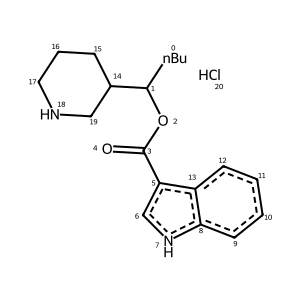 CCCCC(OC(=O)c1c[nH]c2ccccc12)C1CCCNC1.Cl